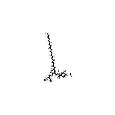 CCC=CCC=CCC=CCC=CCC=CCC=CCCC(=O)NC(CNC(=O)c1c[n+]([O-])c(C)cn1)C(=O)OCC(CO)CO